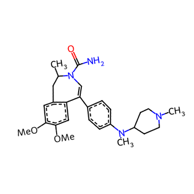 COc1cc2c(cc1OC)C(c1ccc(N(C)C3CCN(C)CC3)cc1)=CN(C(N)=O)C(C)C2